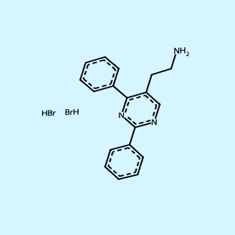 Br.Br.NCCc1cnc(-c2ccccc2)nc1-c1ccccc1